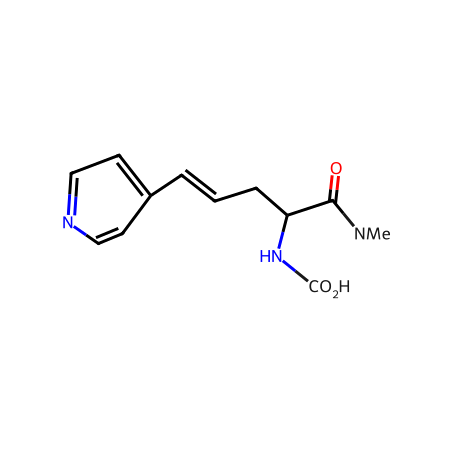 CNC(=O)C(CC=Cc1ccncc1)NC(=O)O